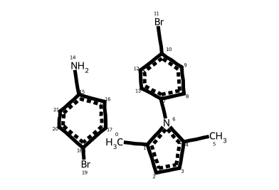 Cc1ccc(C)n1-c1ccc(Br)cc1.Nc1ccc(Br)cc1